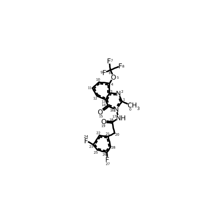 Cc1nc2c(OC(F)(F)F)cccc2c(=O)n1NC(=O)Cc1cc(F)cc(F)c1